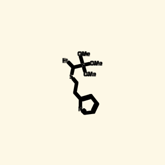 CCC(SCCc1ccccn1)[Si](OC)(OC)OC